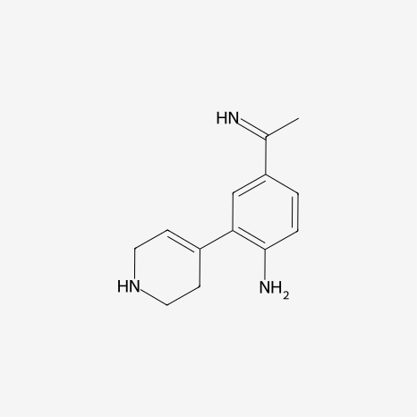 CC(=N)c1ccc(N)c(C2=CCNCC2)c1